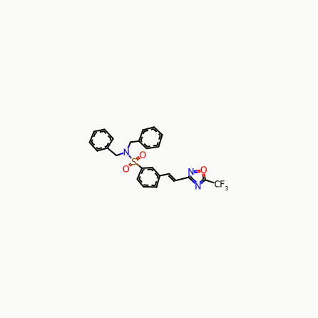 O=S(=O)(c1cccc(C=Cc2noc(C(F)(F)F)n2)c1)N(Cc1ccccc1)Cc1ccccc1